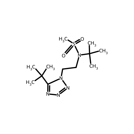 CC(C)(C)c1nnnn1CCN(C(C)(C)C)S(C)(=O)=O